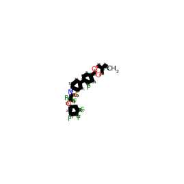 C=CC1COC(c2ccc(-c3ccc4nc(C(F)(F)Oc5cc(F)c(F)c(F)c5)sc4c3)c(F)c2)OC1